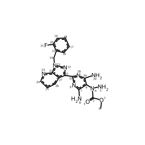 COC(=O)N(N)c1c(N)nc(-c2nn(Cc3ccccc3F)c3ncccc23)nc1N